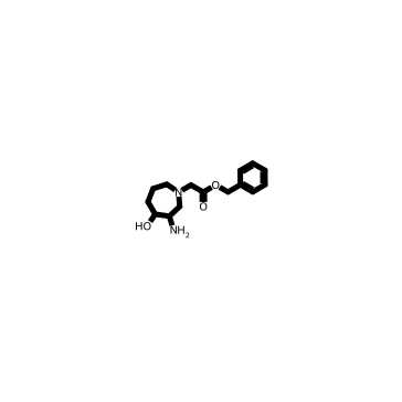 NC1CN(CC(=O)OCc2ccccc2)CCCC1O